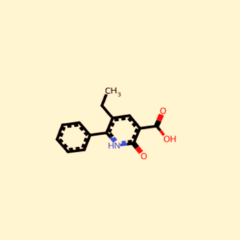 CCc1cc(C(=O)O)c(=O)[nH]c1-c1ccccc1